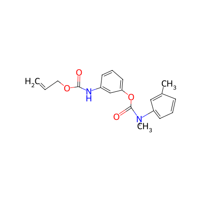 C=CCOC(=O)Nc1cccc(OC(=O)N(C)c2cccc(C)c2)c1